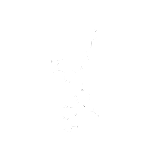 Cc1ncsc1-c1ccc(CNC(=O)[C@@H]2C[C@@H](O)CN2C(=O)C(NC(=O)C2(F)CC2)C(C)(C)C)c(OCCCCCCBr)c1